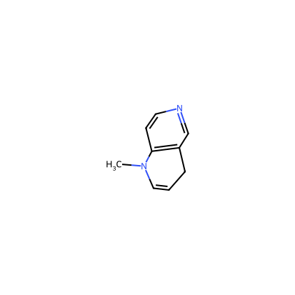 CN1C=CCc2cnccc21